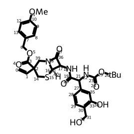 C=CC1(C(=O)OCc2ccc(OC)cc2)CS[C@@H]2C(NC(=O)C(NC(=O)OC(C)(C)C)c3ccc(CO)c(O)c3)C(=O)N2C1